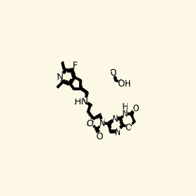 Cc1nc(C)c2c(c1F)CC(CNCCC1CN(c3cnc4c(n3)NC(=O)CO4)C(=O)O1)C2.O=CO